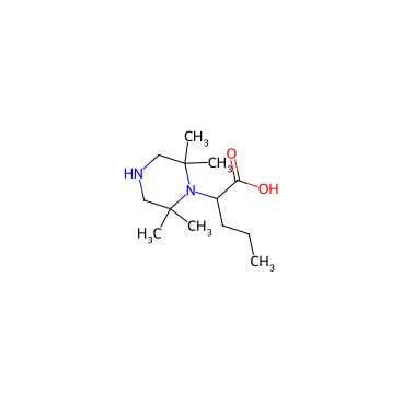 CCCC(C(=O)O)N1C(C)(C)CNCC1(C)C